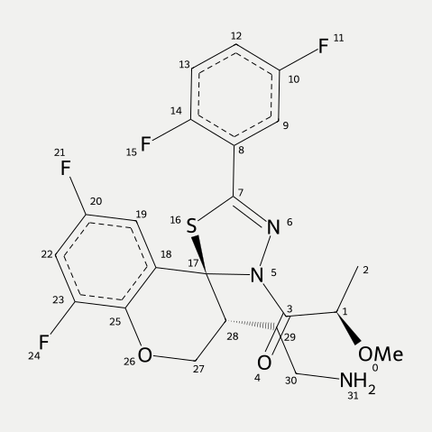 CO[C@H](C)C(=O)N1N=C(c2cc(F)ccc2F)S[C@@]12c1cc(F)cc(F)c1OC[C@H]2CCN